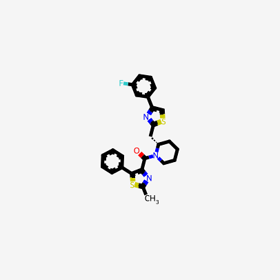 Cc1nc(C(=O)N2CCCC[C@H]2Cc2nc(-c3cccc(F)c3)cs2)c(-c2ccccc2)s1